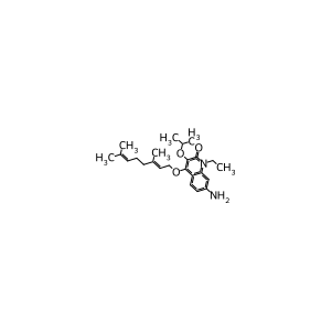 CCn1c(=O)c(OC(C)C)c(OC/C=C(\C)CCC=C(C)C)c2ccc(N)cc21